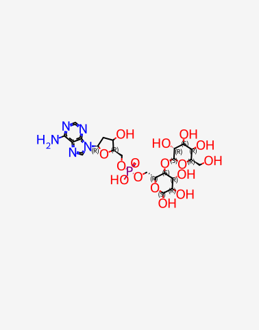 Nc1ncnc2c1ncn2[C@H]1CC(O)[C@@H](COP(=O)(O)OC[C@H]2O[C@H](O)[C@H](O)[C@@H](O)[C@@H]2O[C@@H]2O[C@H](CO)[C@H](O)[C@H](O)[C@H]2O)O1